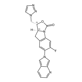 O=C1O[C@@H](Cn2ccnn2)[C@@H]2Cc3cc(-n4cc5cccnc5c4)c(F)cc3N12